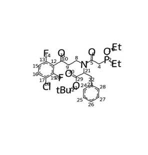 CCOP(CC)CC(=O)N(CCC(=O)c1c(F)ccc(Cl)c1F)C(Cc1ccccc1)C(=O)OC(C)(C)C